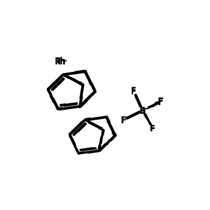 C1=C2CCC(=C1)C2.C1=C2CCC(=C1)C2.F[B-](F)(F)F.[Rh]